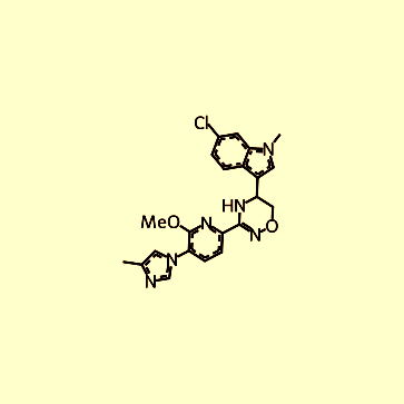 COc1nc(C2=NOCC(c3cn(C)c4cc(Cl)ccc34)N2)ccc1-n1cnc(C)c1